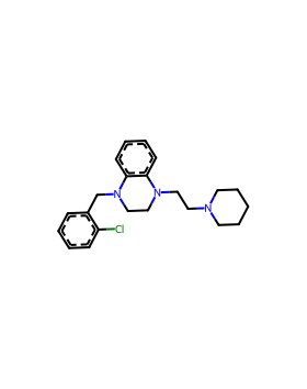 Clc1ccccc1CN1CCN(CCN2CCCCC2)c2ccccc21